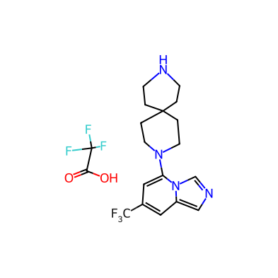 FC(F)(F)c1cc(N2CCC3(CCNCC3)CC2)n2cncc2c1.O=C(O)C(F)(F)F